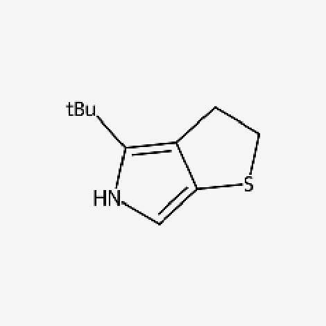 CC(C)(C)c1[nH]cc2c1CCS2